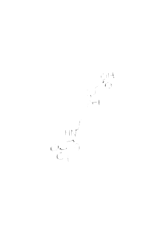 O=C(O)CCC(=O)NCCCCCCNC(=O)CCC(=O)O